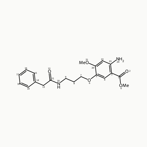 COC(=O)c1cc(OCCCNC(=O)Cc2ccccc2)c(OC)cc1N